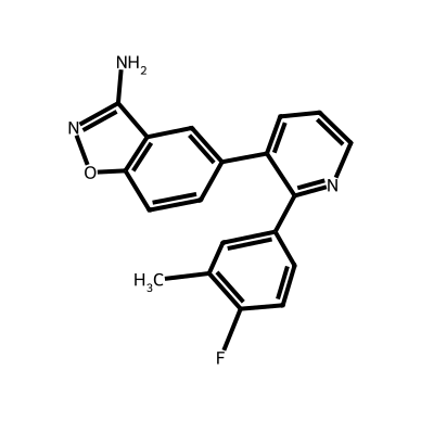 Cc1cc(-c2ncccc2-c2ccc3onc(N)c3c2)ccc1F